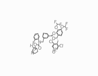 O=C(O[C@@H](Cc1c(Cl)c[n+]([O-])cc1Cl)c1ccc(OC(F)F)c(OC(F)F)c1)c1cccc(CN(C(=O)O[C@H]2CN3CCC2CC3)c2ccccc2F)c1